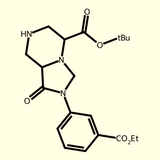 CCOC(=O)c1cccc(N2CN3C(C(=O)OC(C)(C)C)CNCC3C2=O)c1